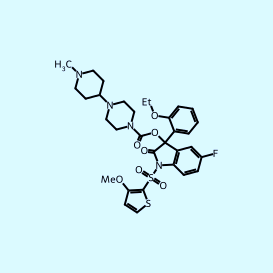 CCOc1ccccc1C1(OC(=O)N2CCN(C3CCN(C)CC3)CC2)C(=O)N(S(=O)(=O)c2sccc2OC)c2ccc(F)cc21